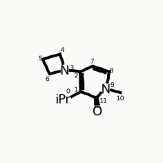 CC(C)c1c(N2CCC2)ccn(C)c1=O